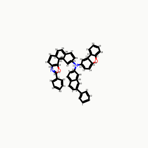 c1ccc(-c2ccc3ccc(N(c4ccc5oc6ccccc6c5c4)c4ccc5ccc6ccc7nc(-c8ccccc8)oc7c6c5c4)cc3c2)cc1